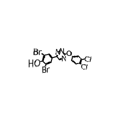 Oc1c(Br)cc(-c2cnc(Oc3ccc(Cl)c(Cl)c3)nn2)cc1Br